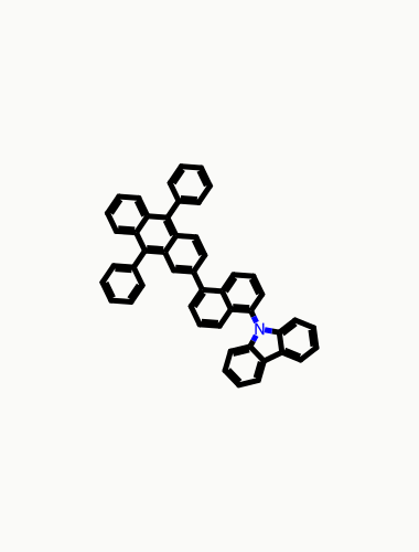 c1ccc(-c2c3ccccc3c(-c3ccccc3)c3cc(-c4cccc5c(-n6c7ccccc7c7ccccc76)cccc45)ccc23)cc1